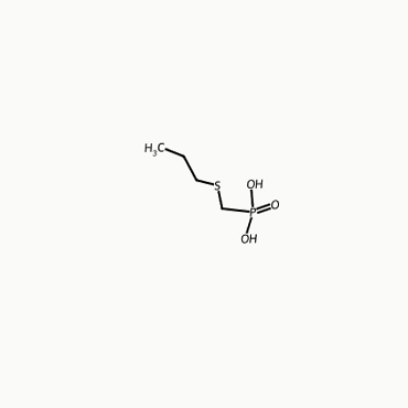 CCCSCP(=O)(O)O